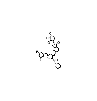 O=C1CCC(N2Cc3cc(OC4CN(Cc5cc(F)cc(F)c5)CCC4NCc4ccccc4)ccc3C2=O)C(=O)N1